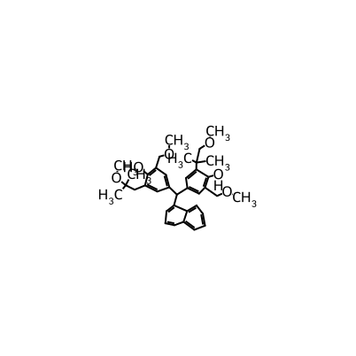 COCc1cc(C(c2cc(COC)c(O)c(C(C)(C)COC)c2)c2cccc3ccccc23)cc(CC(C)(C)OC)c1O